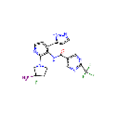 O=C(Nc1c(-c2ccn[nH]2)ccnc1N1CCC(F)(P)C1)c1cnc(C(F)(F)F)nc1